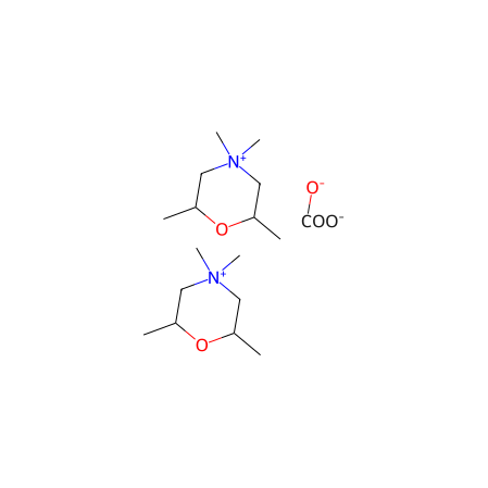 CC1C[N+](C)(C)CC(C)O1.CC1C[N+](C)(C)CC(C)O1.O=C([O-])[O-]